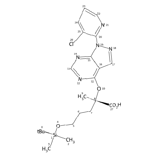 CC(C)(C)[Si](C)(C)OCCC[C@](C)(Oc1ncnc2c1cnn2-c1ncccc1Cl)C(=O)O